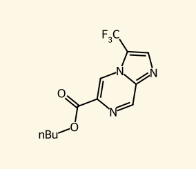 CCCCOC(=O)c1cn2c(C(F)(F)F)cnc2cn1